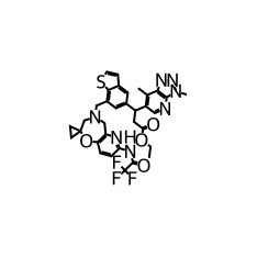 CCOC(=O)CC(c1cc(CN2Cc3nc(NC(=O)C(F)(F)F)ccc3OC3(CC3)C2)c2sccc2c1)c1cnc2c(nnn2C)c1C